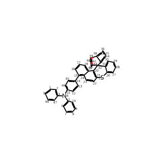 c1ccc(N(c2ccccc2)c2ccc(-c3cccc4c5c(ccc34)Sc3ccccc3C53c4ccccc4-c4ccccc43)cc2)cc1